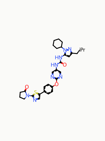 CC(C)Cc1cc(NC(=O)Nc2cnc(Oc3ccc(-c4cnc(N5CCCC5=O)s4)cc3)nc2)n(C2CCCCC2)n1